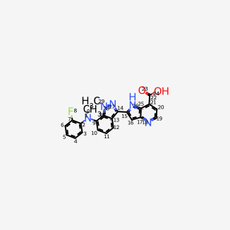 CN(c1ccccc1F)c1cccc2c(-c3cc4nccc(C(=O)O)c4[nH]3)nn(C)c12